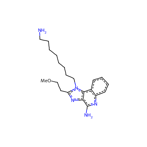 COCCc1nc2c(N)nc3ccccc3c2n1CCCCCCCCN